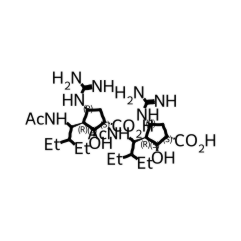 CCC(CC)C(NC(C)=O)[C@@H]1[C@H](O)[C@@H](C(=O)O)C[C@H]1NC(=N)N.CCC(CC)C(NC(C)=O)[C@@H]1[C@H](O)[C@@H](C(=O)O)C[C@H]1NC(=N)N